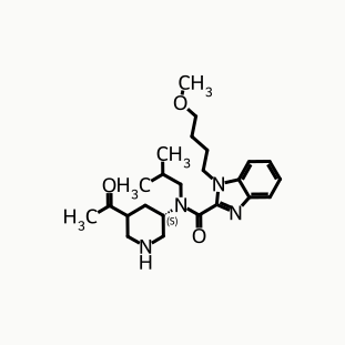 COCCCCn1c(C(=O)N(CC(C)C)[C@@H]2CNCC(C(C)=O)C2)nc2ccccc21